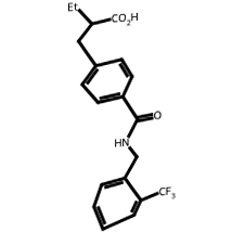 CCC(Cc1ccc(C(=O)NCc2ccccc2C(F)(F)F)cc1)C(=O)O